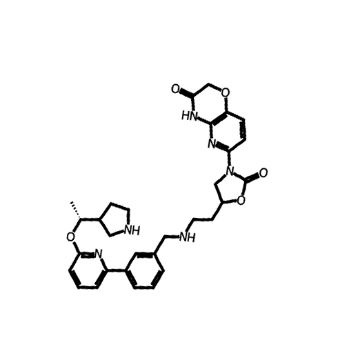 C[C@@H](Oc1cccc(-c2cccc(CNCCC3CN(c4ccc5c(n4)NC(=O)CO5)C(=O)O3)c2)n1)C1CCNC1